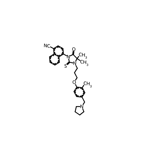 Cc1cc(CN2CCCC2)ccc1OCCCN1C(=S)N(c2ccc(C#N)c3ccccc23)C(=O)C1(C)C